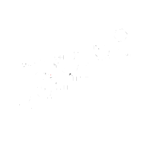 COC(=O)[C@@]12OC[C@]34C([C@@H](O)[C@@H]1O)[C@@]1(C)CC(=O)C(OCC(=O)NC(Cc5ccccc5)C(=O)OC(C)(C)C)=C(C)[C@@H]1C[C@H]3OC(=O)[C@H](OC(=O)C=C(C)C)[C@@H]24